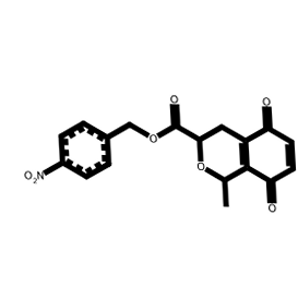 CC1OC(C(=O)OCc2ccc([N+](=O)[O-])cc2)CC2=C1C(=O)C=CC2=O